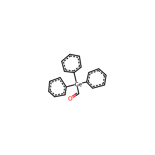 O=[CH][Ge]([c]1ccccc1)([c]1ccccc1)[c]1ccccc1